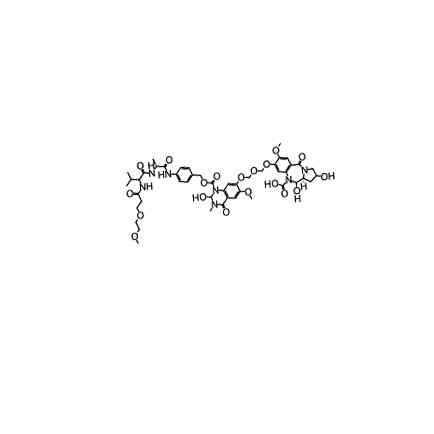 COCCOCCC(=O)N[C@H](C(=O)N[C@@H](C)C(=O)Nc1ccc(COC(=O)N2c3cc(OCOCOc4cc5c(cc4OC)C(=O)N4CC(O)C[C@H]4C(O)N5C(=O)O)c(OC)cc3C(=O)N(C)C2O)cc1)C(C)C